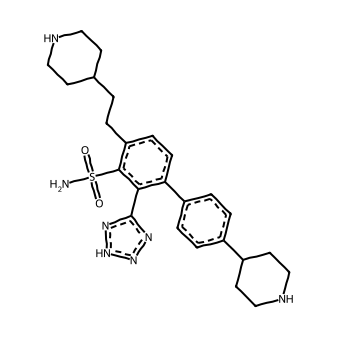 NS(=O)(=O)c1c(CCC2CCNCC2)ccc(-c2ccc(C3CCNCC3)cc2)c1-c1nn[nH]n1